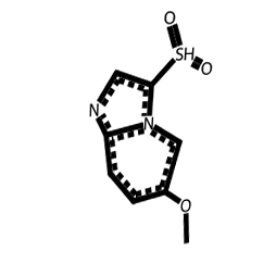 COc1ccc2ncc([SH](=O)=O)n2c1